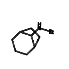 CCNC1C2CCCC1CC2